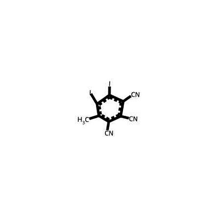 Cc1c(I)c(I)c(C#N)c(C#N)c1C#N